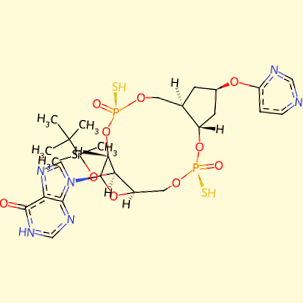 CC(C)(C)[Si](C)(C)O[C@H]1[C@H]2O[P@@](=O)(S)OC[C@H]3C[C@@H](Oc4ccncn4)C[C@@H]3O[P@@](=O)(S)OC[C@H]1O[C@H]2n1cnc2c(=O)[nH]cnc21